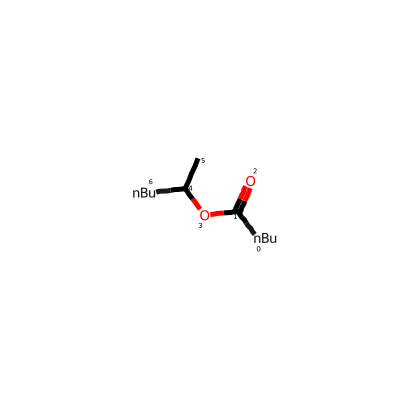 CCCCC(=O)OC(C)CCCC